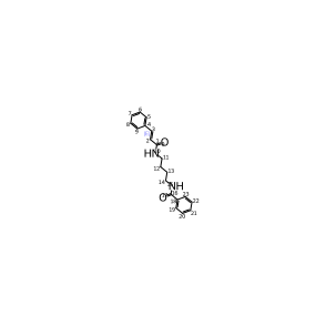 O=C(/C=C/c1ccccc1)NCCCCNC(=O)c1ccccc1